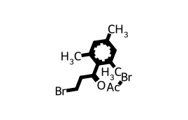 CC(=O)Br.Cc1cc(C)c(C(=O)CCBr)c(C)c1